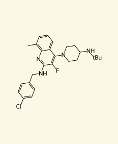 Cc1cccc2c(N3CCC(NC(C)(C)C)CC3)c(F)c(NCc3ccc(Cl)cc3)nc12